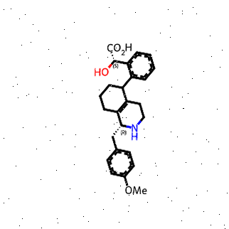 COc1ccc(C[C@H]2NCCC3=C2CCCC3c2ccccc2[C@H](O)C(=O)O)cc1